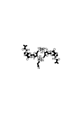 CC(C)C(=O)Nn1cnc2c(=O)[nH]c(C3OC4CO[PH](S)(OCCC#N)OC5C(CO[PH](O)(S)OC4C3F)OC(c3nc4c(ncn4NC(=O)C(C)C)c(=O)[nH]3)C5F)nc21